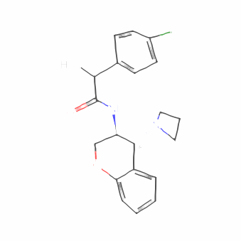 CC(C(=O)N[C@@H]1COc2ccccc2[C@H]1N1CCC1)c1ccc(F)cc1